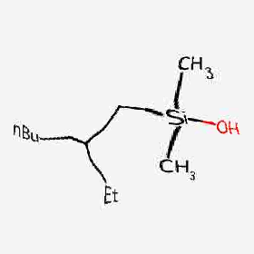 CCCCC(CC)C[Si](C)(C)O